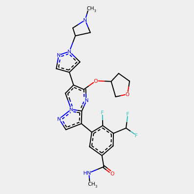 CNC(=O)c1cc(-c2cnn3cc(-c4cnn(C5CN(C)C5)c4)c(OC4CCOC4)nc23)c(F)c(C(F)F)c1